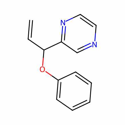 C=CC(Oc1ccccc1)c1cnccn1